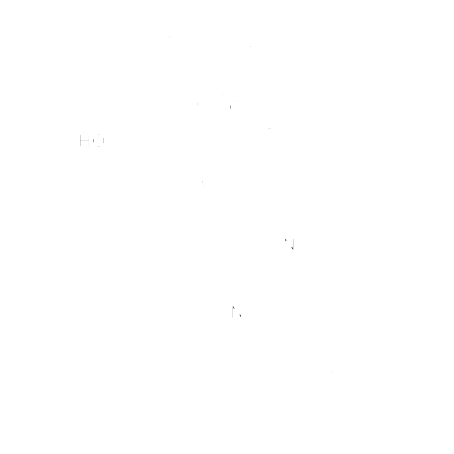 C/C=C/c1cnc(-c2cc(C34CC5CC(CC(C5)C3)C4)c(O)cc2C)nc1